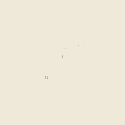 [C-]#[N+]c1ccc2ccc(C(=O)OC)cc2c1-c1c(C)cccc1F